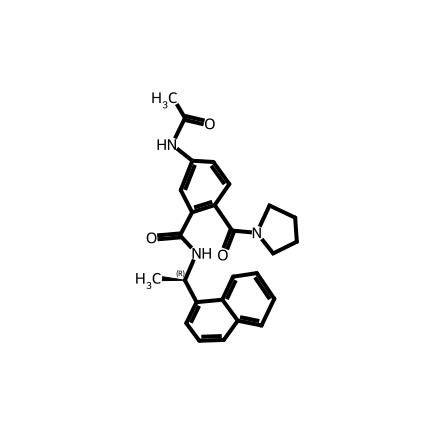 CC(=O)Nc1ccc(C(=O)N2CCCC2)c(C(=O)N[C@H](C)c2cccc3ccccc23)c1